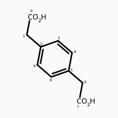 O=C(O)Cc1[c]cc(CC(=O)O)cc1